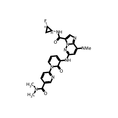 CNc1cc(Nc2cccn(-c3ccc(C(=O)N(C)C)cn3)c2=O)nn2c(C(=O)N[C@@H]3C[C@@H]3F)cnc12